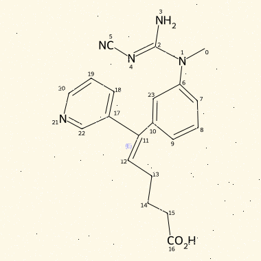 CN(C(N)=NC#N)c1cccc(/C(=C\CCCC(=O)O)c2cccnc2)c1